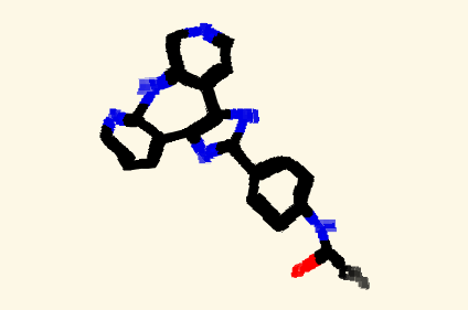 CC(=O)Nc1ccc(-c2nc3c([nH]2)-c2ccncc2Nc2ncccc2-3)cc1